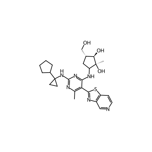 Cc1nc(NC2(C3CCCC3)CC2)nc(NC2C[C@H](CO)[C@@H](O)[C@@]2(C)O)c1-c1nc2cnccc2s1